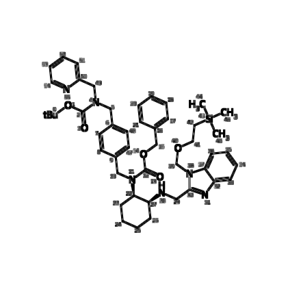 CC(C)(C)OC(=O)N(Cc1ccc(CN(C(=O)OCc2ccccc2)[C@@H]2CCCC[C@@H]2NCc2nc3ccccc3n2COCC[Si](C)(C)C)cc1)Cc1ccccn1